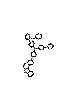 c1ccc(-c2ccc(N(c3ccc(-c4ccc5c(ccc6oc7ccccc7c65)c4)cc3)c3ccc4c5ccccc5n(-c5ccccc5)c4c3)cc2)cc1